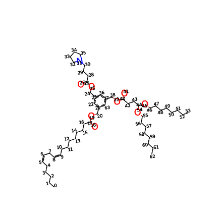 CCCCC/C=C\C/C=C\CCCCCCCC(=O)OCc1cc(COC(=O)CCCN2CCCC2)cc(COC(=O)CCC(OCCCCCCCC)OCCCCCCCC)c1